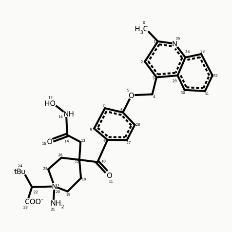 Cc1cc(COc2ccc(C(=O)C3(CC(=O)NO)CC[N+](N)(C(C(=O)[O-])C(C)(C)C)CC3)cc2)c2ccccc2n1